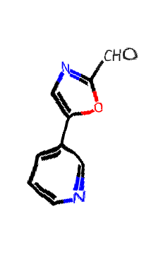 O=Cc1ncc(-c2cccnc2)o1